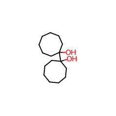 OC1(C2(O)CCCCCCC2)CCCCCCC1